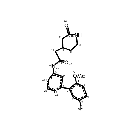 COc1ccc(F)cc1-c1cc(NC(=O)CC2CCNC(=O)C2)ncn1